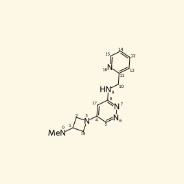 CNC1CN(c2cnnc(NCc3ccccn3)c2)C1